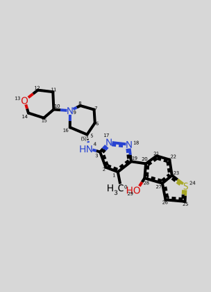 Cc1cc(N[C@H]2CCCN(C3CCOCC3)C2)nnc1-c1ccc2sccc2c1O